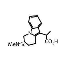 CN[C@H]1CCc2c(C(C)C(=O)O)c3ccccc3n2C1